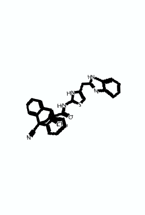 CC1(C(=O)NC2NC(Cc3nc4ccccc4[nH]3)=CS2)CC2(C#N)c3ccccc3C1c1ccccc12